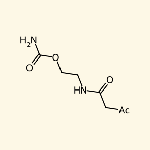 CC(=O)CC(=O)NCCOC(N)=O